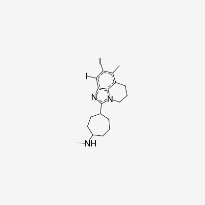 CNC1CCCC(c2nc3c(I)c(I)c(C)c4c3n2CCC4)CC1